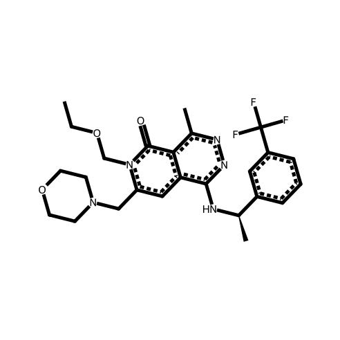 CCOCn1c(CN2CCOCC2)cc2c(N[C@H](C)c3cccc(C(F)(F)F)c3)nnc(C)c2c1=O